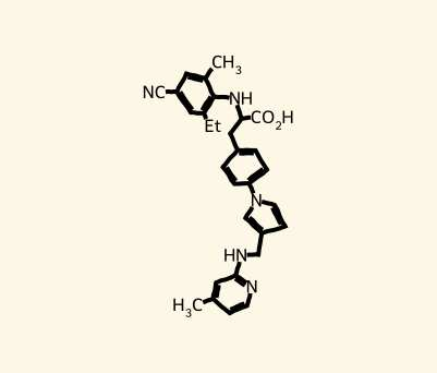 CCc1cc(C#N)cc(C)c1NC(Cc1ccc(-n2ccc(CNc3cc(C)ccn3)c2)cc1)C(=O)O